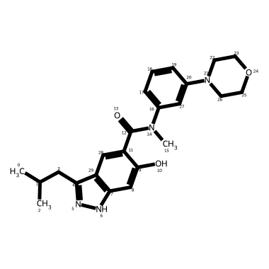 CC(C)Cc1n[nH]c2cc(O)c(C(=O)N(C)c3cccc(N4CCOCC4)c3)cc12